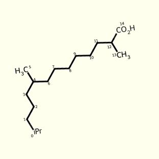 CC(C)CCCC(C)CCCCCCC(C)C(=O)O